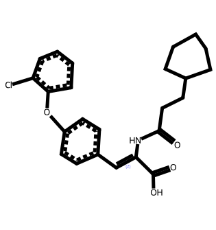 O=C(CCC1CCCCC1)N/C(=C\c1ccc(Oc2ccccc2Cl)cc1)C(=O)O